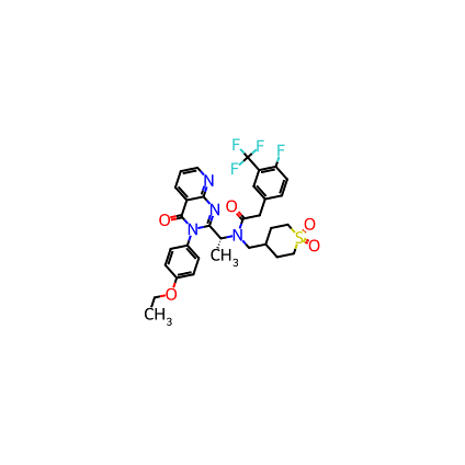 CCOc1ccc(-n2c([C@@H](C)N(CC3CCS(=O)(=O)CC3)C(=O)Cc3ccc(F)c(C(F)(F)F)c3)nc3ncccc3c2=O)cc1